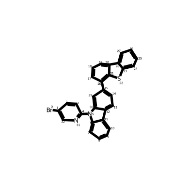 Brc1ccc(-n2c3ccccc3c3ccc(-c4cccc5c4sc4ccccc45)cc32)nc1